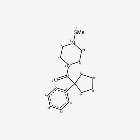 CSN1CCN(C(=O)C2(c3ccccc3)CCCC2)CC1